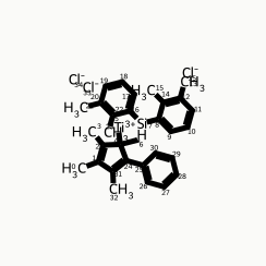 CC1=C(C)[C]([Ti+3])(C[SiH](c2cccc(C)c2C)c2cccc(C)c2C)C(c2ccccc2)=C1C.[Cl-].[Cl-].[Cl-]